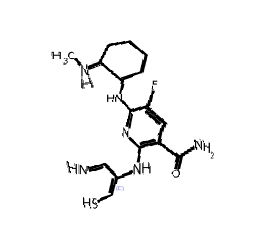 CNC1CCCCC1Nc1nc(N/C(C=N)=C/S)c(C(N)=O)cc1F